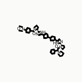 O=C(c1ccc(N2CCOCC2)cc1)N1CCC[C@H]1c1ncc(-c2ccc(-c3ccc(-c4cnc([C@@H]5CCCN5C(=O)[C@@H](c5ccccc5)N5CCCCC5)[nH]4)cc3)cc2)[nH]1